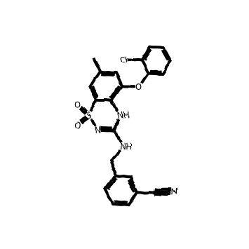 Cc1cc(Oc2ccccc2Cl)c2c(c1)S(=O)(=O)N=C(NCc1cccc(C#N)c1)N2